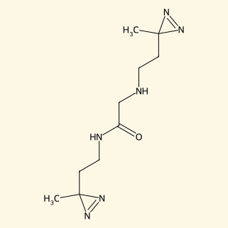 CC1(CCNCC(=O)NCCC2(C)N=N2)N=N1